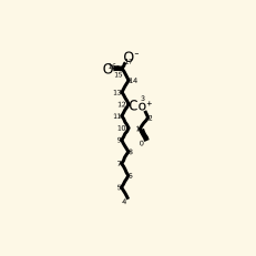 C=C[CH2][Co+].CCCCCCCCCCCC(=O)[O-]